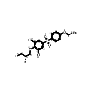 CC[C@H](C)COc1ccc(S(=O)(=O)c2cc(Cl)c(OC[C@H](C)CCl)c(Cl)c2)cc1